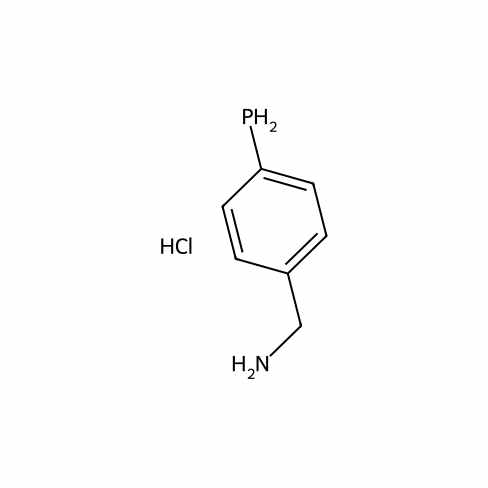 Cl.NCc1ccc(P)cc1